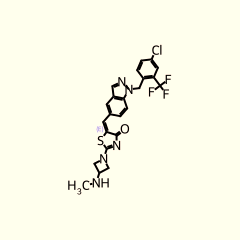 CNC1CN(C2=NC(=O)/C(=C\c3ccc4c(cnn4Cc4ccc(Cl)cc4C(F)(F)F)c3)S2)C1